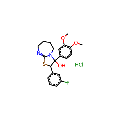 COc1ccc(C2(O)C(c3cccc(F)c3)SC3=NCCCCN32)cc1OC.Cl